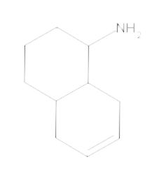 NC1CCCC2CC=CCC12